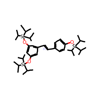 CC(C)[Si](Oc1ccc(/C=C/c2cc(O[Si](C(C)C)(C(C)C)C(C)C)cc(O[Si](C(C)C)(C(C)C)C(C)C)c2)cc1)(C(C)C)C(C)C